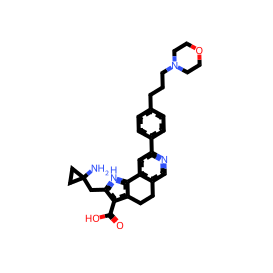 NC1(Cc2[nH]c3c(c2C(=O)O)CCc2cnc(-c4ccc(CCCN5CCOCC5)cc4)cc2-3)CC1